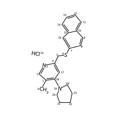 Cc1cnc(CSc2ccc3ccccc3c2)cc1N1CCCCC1.Cl